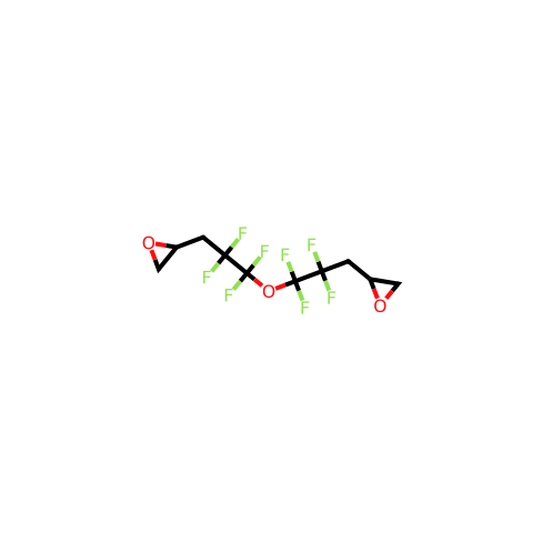 FC(F)(CC1CO1)C(F)(F)OC(F)(F)C(F)(F)CC1CO1